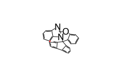 c1ccc2c(c1)Oc1nc3ccccc3n1C21c2ccccc2-c2ccccc21